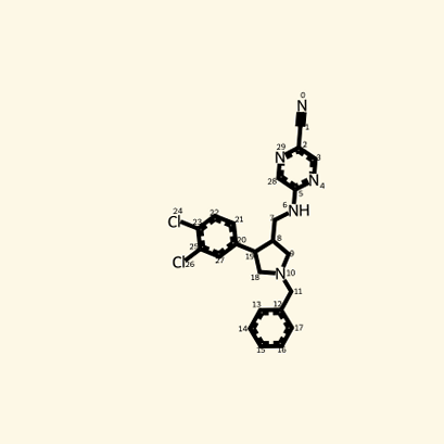 N#Cc1cnc(NCC2CN(Cc3ccccc3)CC2c2ccc(Cl)c(Cl)c2)cn1